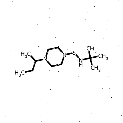 CCC(C)N1CCN(SNC(C)(C)C)CC1